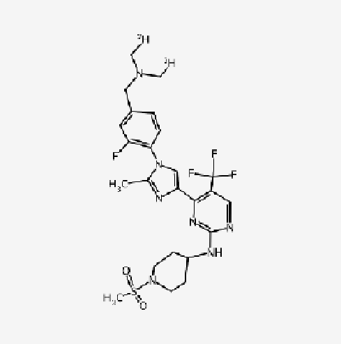 [2H]CN(C[2H])Cc1ccc(-n2cc(-c3nc(NC4CCN(S(C)(=O)=O)CC4)ncc3C(F)(F)F)nc2C)c(F)c1